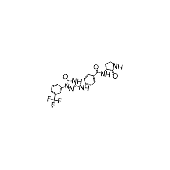 O=C(NC1CCNC1=O)c1ccc(Nc2nn(-c3cccc(C(F)(F)F)c3)c(=O)[nH]2)cc1